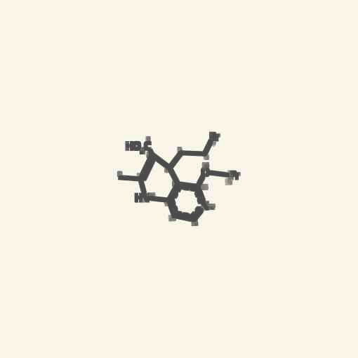 CC1=C(C(=O)O)C(CCBr)c2c(ccnc2OC(C)C)N1